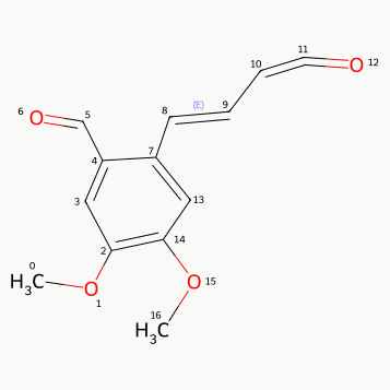 COc1cc(C=O)c(/C=C/C=C=O)cc1OC